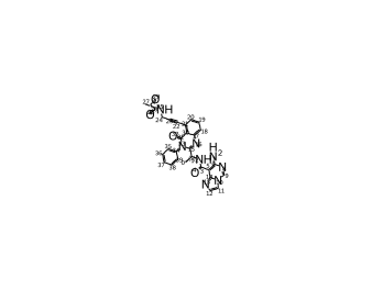 C[C@H](NC(=O)c1c(N)ncn2ccnc12)c1nc2cccc(C#CCNS(C)(=O)=O)c2c(=O)n1-c1ccccc1